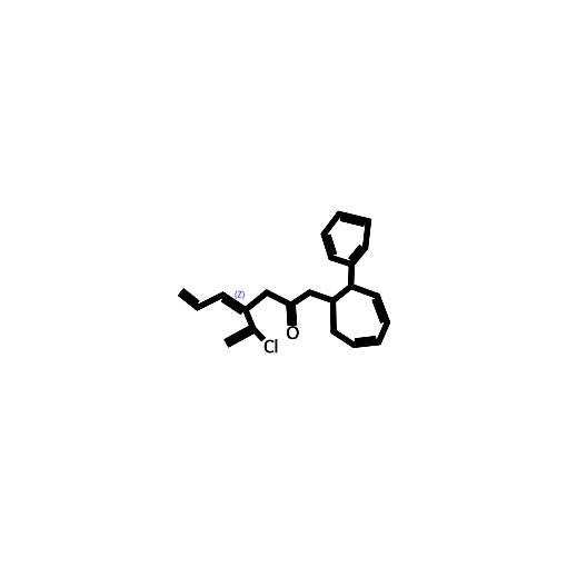 C=C/C=C(/CC(=O)CC1CC=CC=CC1c1ccccc1)C(=C)Cl